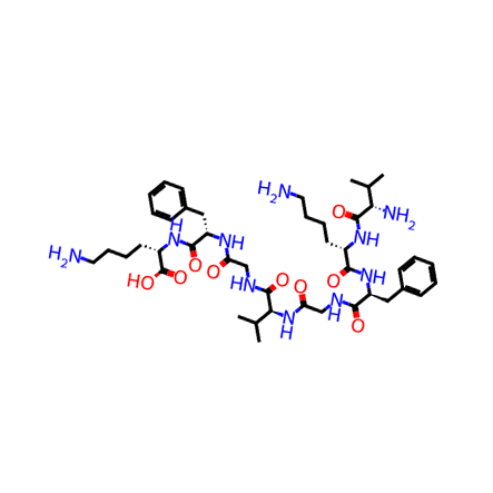 CC(C)[C@H](N)C(=O)N[C@@H](CCCCN)C(=O)N[C@@H](Cc1ccccc1)C(=O)NCC(=O)N[C@H](C(=O)NCC(=O)N[C@@H](Cc1ccccc1)C(=O)N[C@@H](CCCCN)C(=O)O)C(C)C